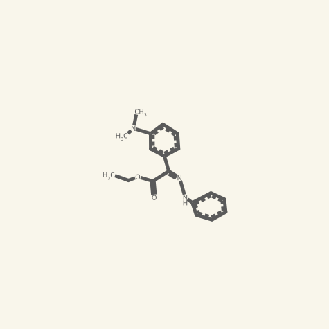 CCOC(=O)/C(=N\Nc1ccccc1)c1cccc(N(C)C)c1